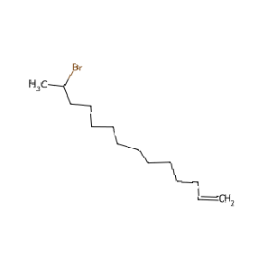 C=CCCCCCCCCCCC(C)Br